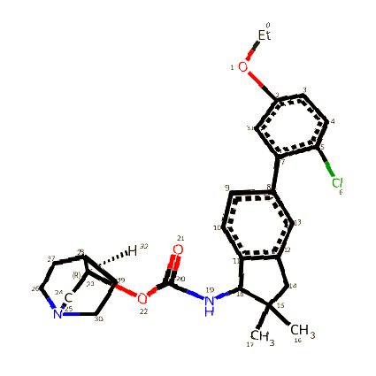 CCOc1ccc(Cl)c(-c2ccc3c(c2)CC(C)(C)C3NC(=O)O[C@H]2CN3CCC2CC3)c1